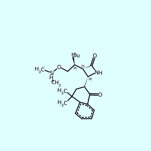 C[SiH](C)OC[C@H]([C@@H]1C(=O)N[C@@H]1C1CC(C)(C)c2ccccc2C1=O)C(C)(C)C